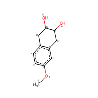 COc1ccc2c(c1)CC(O)C(O)C2